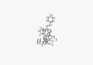 CC1(C)C2CCC1(C)[C@@H](OC(=O)[C@@H]1CCCN1C(=O)CCc1ccccc1)C2